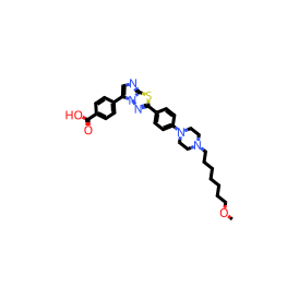 COCCCCCCCN1CCN(c2ccc(-c3nn4c(-c5ccc(C(=O)O)cc5)cnc4s3)cc2)CC1